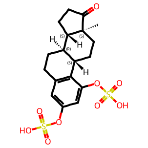 C[C@]12CC[C@@H]3c4c(cc(OS(=O)(=O)O)cc4OS(=O)(=O)O)CC[C@H]3[C@@H]1CCC2=O